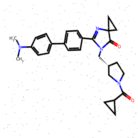 CN(C)c1ccc(-c2ccc(C3=NC4(CC4)C(=O)N3C[C@@H]3CCN(C(=O)C4CC4)C3)cc2)cc1